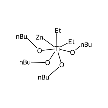 CCCC[O][Ti]([Zn])([CH2]C)([CH2]C)([O]CCCC)([O]CCCC)[O]CCCC